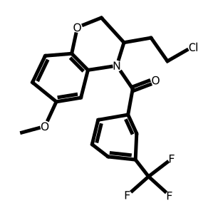 COc1ccc2c(c1)N(C(=O)c1cccc(C(F)(F)F)c1)C(CCCl)CO2